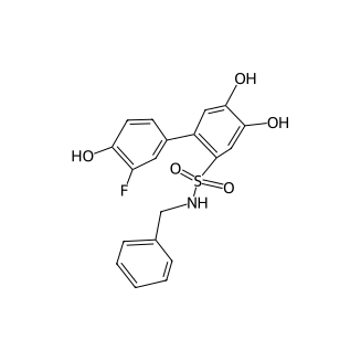 O=S(=O)(NCc1ccccc1)c1cc(O)c(O)cc1-c1ccc(O)c(F)c1